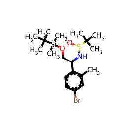 Cc1cc(Br)ccc1[C@@H](CO[Si](C)(C)C(C)(C)C)N[S@@+]([O-])C(C)(C)C